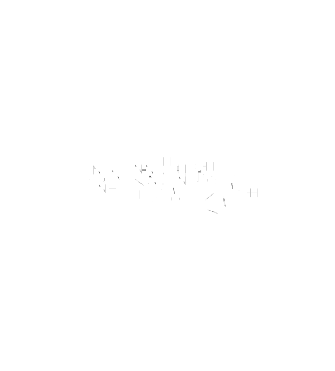 CC(C)(C(=O)NC1Cc2cccc(C(=O)O)c2OB1O)n1cc(CNC(=N)N)nn1